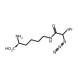 CCCC(N=[N+]=[N-])C(=O)NCCCC[C@H](N)C(=O)O